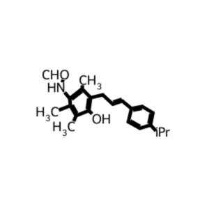 Cc1c(C)c(NC=O)c(C)c(CC=Cc2ccc(C(C)C)cc2)c1O